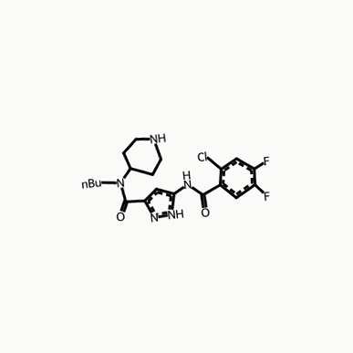 CCCCN(C(=O)c1cc(NC(=O)c2cc(F)c(F)cc2Cl)[nH]n1)C1CCNCC1